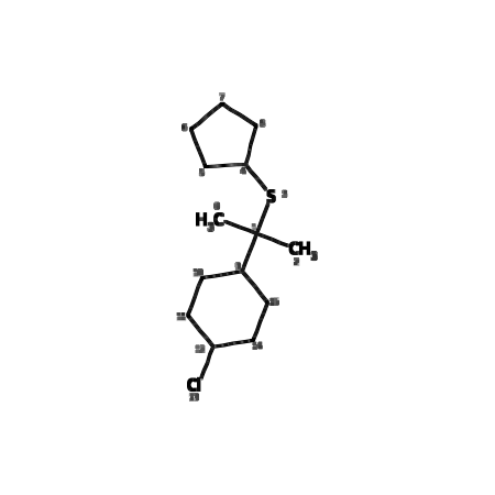 CC(C)(SC1CCCC1)C1CCC(Cl)CC1